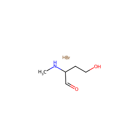 Br.CNC(C=O)CCO